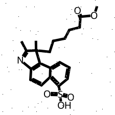 COC(=O)CCCCCC1(C)C(C)=Nc2ccc3c(S(=O)(=O)O)cccc3c21